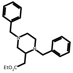 CCOC(=O)CC1CN(Cc2ccccc2)CCN1Cc1ccccc1